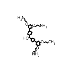 CCCCOc1cc(OCCCN)cc(-c2ccc([C@H](O)c3ccc(-c4cc(OCCCN)cc(OCCCN)c4)cc3)cc2)c1